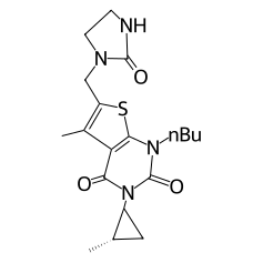 CCCCn1c(=O)n(C2C[C@@H]2C)c(=O)c2c(C)c(CN3CCNC3=O)sc21